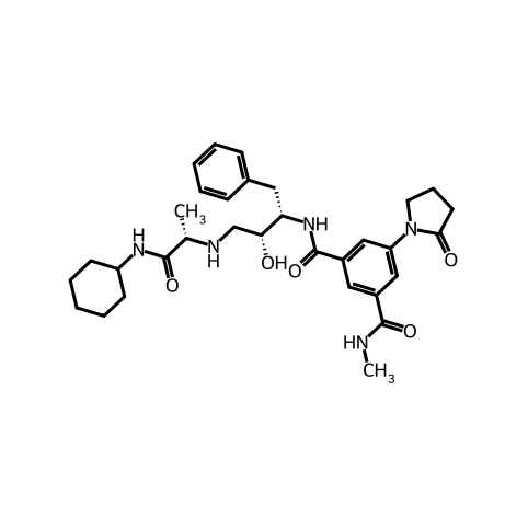 CNC(=O)c1cc(C(=O)N[C@@H](Cc2ccccc2)[C@H](O)CN[C@@H](C)C(=O)NC2CCCCC2)cc(N2CCCC2=O)c1